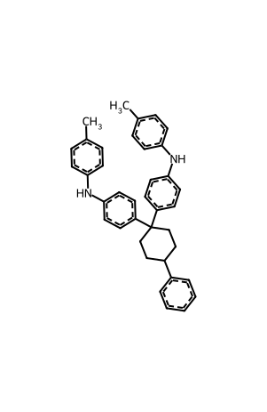 Cc1ccc(Nc2ccc(C3(c4ccc(Nc5ccc(C)cc5)cc4)CCC(c4ccccc4)CC3)cc2)cc1